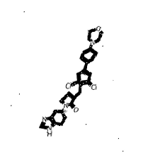 O=C1C(Cc2c(Cl)cc(-c3ccc(N4CCOCC4)cc3)cc2Cl)CCN1[C@@H]1CCc2[nH]cnc2C1